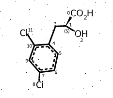 O=C(O)[C@@H](O)Cc1ccc(Cl)cc1Cl